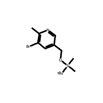 Cc1ncc(CO[Si](C)(C)C(C)(C)C)cc1Br